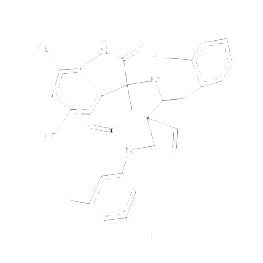 O=CC12CN(c3cc(Cl)cc(Cl)c3)C(=O)C1C1(NC2Cc2ccccc2O)C(=O)Nc2c(Cl)cc(Cl)cc21